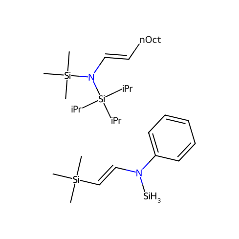 CCCCCCCCC=CN([Si](C)(C)C)[Si](C(C)C)(C(C)C)C(C)C.C[Si](C)(C)C=CN([SiH3])c1ccccc1